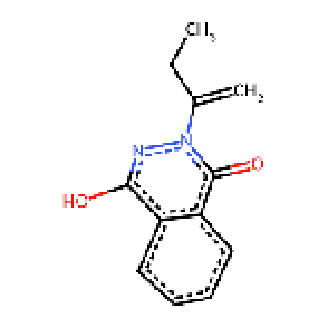 C=C(CC)n1nc(O)c2ccccc2c1=O